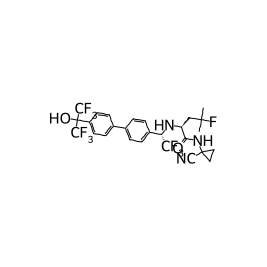 CC(C)(F)C[C@H](N[C@@H](c1ccc(-c2ccc(C(O)(C(F)(F)F)C(F)(F)F)cc2)cc1)C(F)(F)F)C(=O)NC1(C#N)CC1